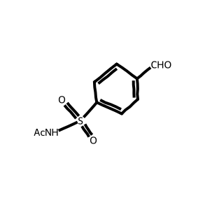 CC(=O)NS(=O)(=O)c1ccc(C=O)cc1